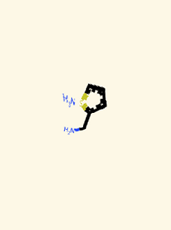 N.NCc1cccs1